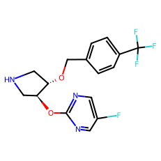 Fc1cnc(O[C@H]2CNC[C@@H]2OCc2ccc(C(F)(F)F)cc2)nc1